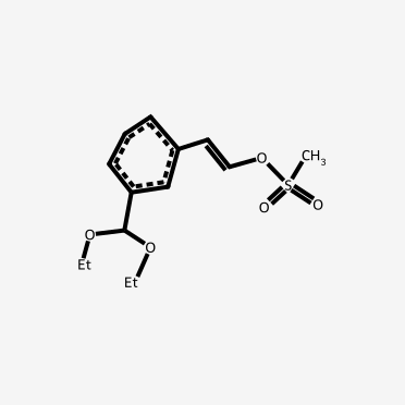 CCOC(OCC)c1cccc(C=COS(C)(=O)=O)c1